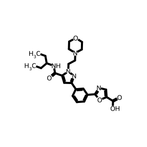 CCC(CC)NC(=O)c1cc(-c2cccc(-c3ncc(C(=O)O)o3)c2)nn1CCN1CCOCC1